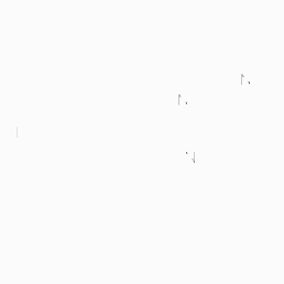 C=N/C=C\C=N/CC(=C)/N=C\C(=C/C)CC(C)c1ccc(C)c(CCC(F)F)c1